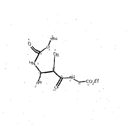 CCCC(NC(=O)OC(C)(C)C)C(O)C(=O)NCC(=O)OCC